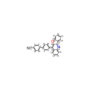 N#Cc1ccc(-c2ccc(-c3c4ccccc4nc4c3oc3ccccc34)cc2)cc1